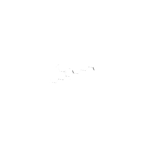 O=C(O)CCCCC(=O)OC(CCCO)C(O)CO